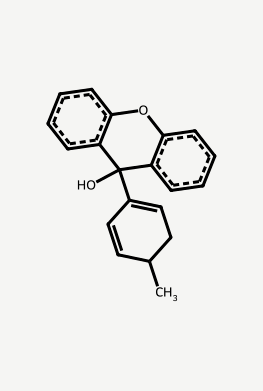 CC1C=CC(C2(O)c3ccccc3Oc3ccccc32)=CC1